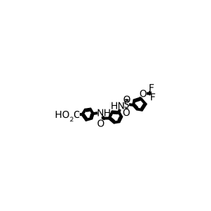 O=C(O)c1ccc(NC(=O)c2cccc(NS(=O)(=O)c3cccc(OC(F)F)c3)c2)cc1